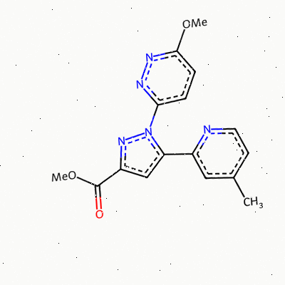 COC(=O)c1cc(-c2cc(C)ccn2)n(-c2ccc(OC)nn2)n1